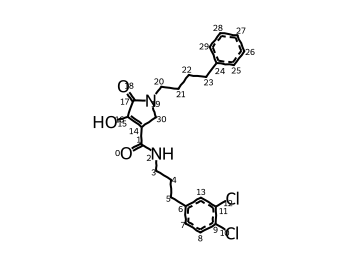 O=C(NCCCc1ccc(Cl)c(Cl)c1)C1=C(O)C(=O)N(CCCCc2ccccc2)C1